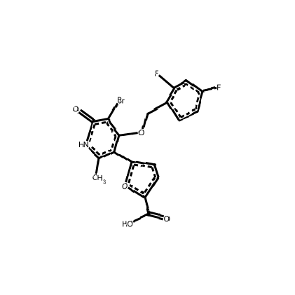 Cc1[nH]c(=O)c(Br)c(OCc2ccc(F)cc2F)c1-c1ccc(C(=O)O)o1